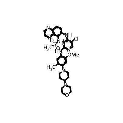 COc1cc(N2CCC(N3CCOCC3)CC2)c(C)cc1Nc1ncc(Cl)c(Nc2ccc3nccnc3c2NS(C)(=O)=O)n1